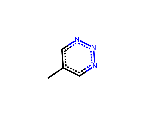 Cc1cnnnc1